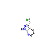 BrCc1n[nH]c2ncccc12